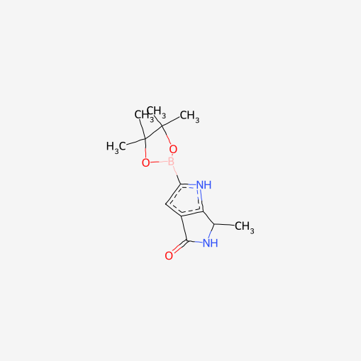 CC1NC(=O)c2cc(B3OC(C)(C)C(C)(C)O3)[nH]c21